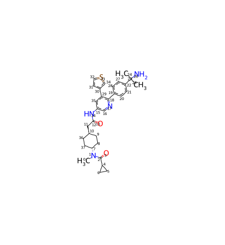 CN(C(=O)C1CC1)[C@H]1CC[C@H](CC(=O)Nc2cnc(-c3ccc(C(C)(C)N)cc3)c(-c3ccsc3)c2)CC1